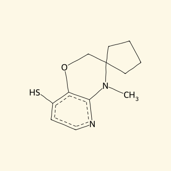 CN1c2nccc(S)c2OCC12CCCC2